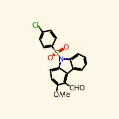 COc1ccc2c(c1C=O)c1ccccc1n2S(=O)(=O)c1ccc(Cl)cc1